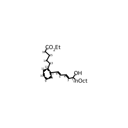 CCCCCCCCC(O)C=CC=Cc1ccccc1CCCCC(=O)OCC